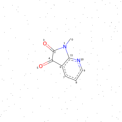 CN1C(=O)C(=O)c2cccnc21